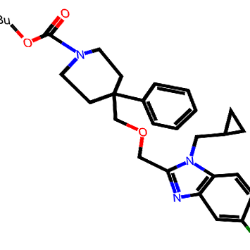 CC(C)(C)OC(=O)N1CCC(COCc2nc3cc(Br)ccc3n2CC2CC2)(c2ccccc2)CC1